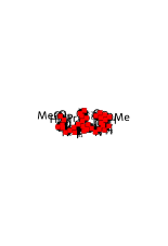 COC(=O)NC(C(=O)N1[C@@H]2C[C@@H]2C[C@H]1c1ncc(-c2ccc3c(c2)cc2n3C(c3ccc4c(c3)OCCC4)Oc3cc(-c4cnc([C@@H]5CCCN5C(=O)[C@@H](NC(=O)OC)C(C)C)[nH]4)cc(F)c3-2)[nH]1)C1CCOC(C)(C)C1